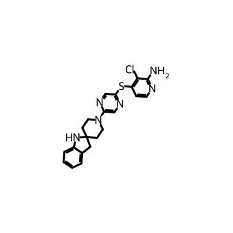 Nc1nccc(Sc2cnc(N3CCC4(CC3)Cc3ccccc3N4)cn2)c1Cl